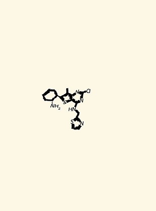 Cc1c([C@@H]2CC=CC[C@H]2N)sc2c(NCc3nccs3)nc(Cl)nc12